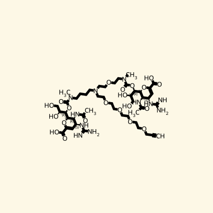 C#CCOCCOCCOCCOCCN(CCCCN(C)C(=O)O[C@@H]([C@@H]1OC(C(=O)O)=C[C@H](NC(=N)N)[C@H]1NC(C)=O)[C@H](O)CO)CCOCCN(C)C(=O)O[C@@H]([C@@H]1OC(C(=O)O)=C[C@H](NC(=N)N)[C@H]1NC(C)=O)[C@H](O)CO